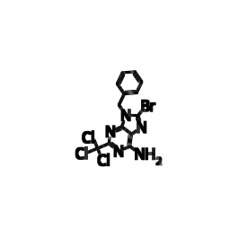 Nc1nc(C(Cl)(Cl)Cl)nc2c1nc(Br)n2Cc1ccccc1